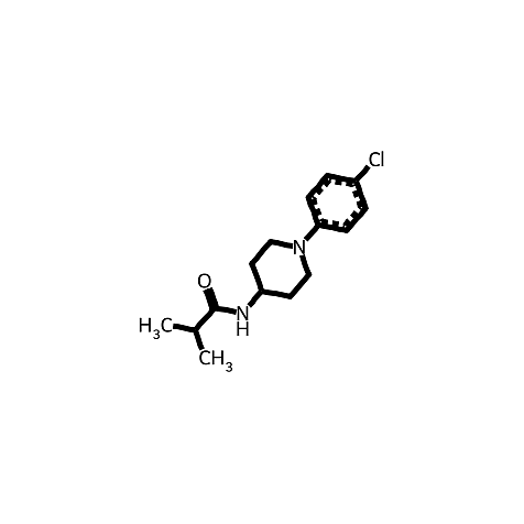 CC(C)C(=O)NC1CCN(c2ccc(Cl)cc2)CC1